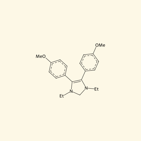 CCN1CN(CC)C(c2ccc(OC)cc2)=C1c1ccc(OC)cc1